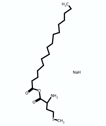 CCCCCCCCCCCCCCCC(=O)OC(=O)C(N)CCSC.[NaH]